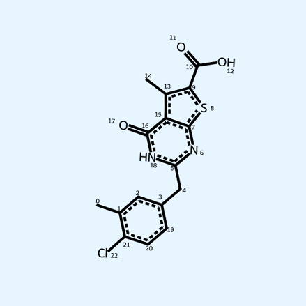 Cc1cc(Cc2nc3sc(C(=O)O)c(C)c3c(=O)[nH]2)ccc1Cl